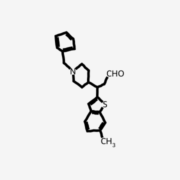 Cc1ccc2cc(C(CC=O)C3CCN(Cc4ccccc4)CC3)sc2c1